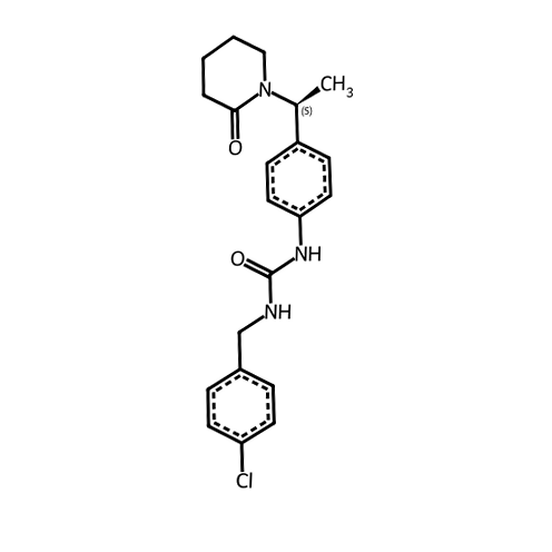 C[C@@H](c1ccc(NC(=O)NCc2ccc(Cl)cc2)cc1)N1CCCCC1=O